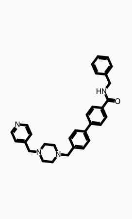 O=C(NCc1ccccc1)c1ccc(-c2ccc(CN3CCN(Cc4ccncc4)CC3)cc2)cc1